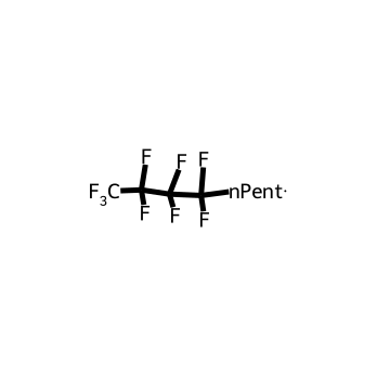 CCCC[CH]C(F)(F)C(F)(F)C(F)(F)C(F)(F)F